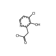 O=C(Cl)Cc1nccc(Cl)c1O